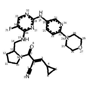 N#CC(=CC1CC1)C(=O)N1CCCC1CNc1nc(Nc2ccc(N3CCOCC3)nc2)ncc1F